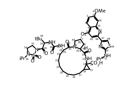 COc1ccc2c(O[C@@H]3C[C@H]4C(=O)N[C@]5(C(=O)O)CC5CCCCCCC[C@H](NC(=O)NC(C(=O)N5CCN(C(C)C)S5(=O)=O)C(C)(C)C)C(=O)N4C3)cc(-c3csc(NC(C)C)n3)nc2c1